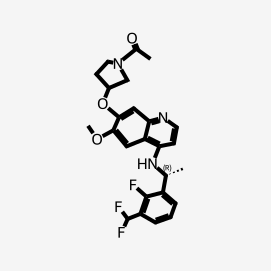 COc1cc2c(N[C@H](C)c3cccc(C(F)F)c3F)ccnc2cc1OC1CCN(C(C)=O)C1